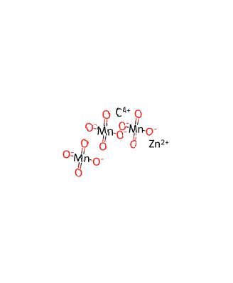 [C+4].[O]=[Mn](=[O])([O-])[O-].[O]=[Mn](=[O])([O-])[O-].[O]=[Mn](=[O])([O-])[O-].[Zn+2]